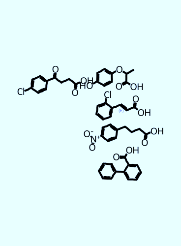 CC(Oc1ccc(O)cc1)C(=O)O.O=C(O)/C=C/c1ccccc1Cl.O=C(O)CCC(=O)c1ccc(Cl)cc1.O=C(O)CCCc1ccc([N+](=O)[O-])cc1.O=C(O)c1ccccc1-c1ccccc1